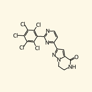 O=C1NCCn2nc(-c3ccnc(-c4c(Cl)c(Cl)c(Cl)c(Cl)c4Cl)n3)cc21